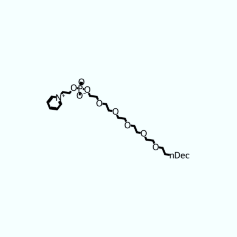 CCCCCCCCCCCCOCCOCCOCCOCCOCCOP(=O)([O-])OCC[n+]1ccccc1